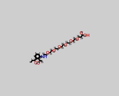 CCC(=O)c1cccc(NCCOCCOCCOCCOCCOCCOCCC(=O)O)c1C(C)=O